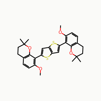 COc1ccc2c(c1-c1cc3sc(-c4c(OC)ccc5c4OC(C)(C)CC5)cc3s1)OC(C)(C)CC2